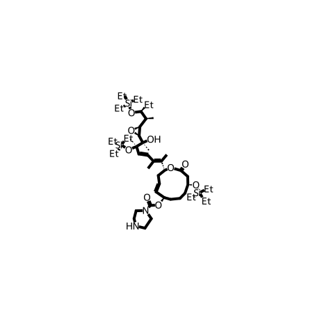 CC[C@H](O[Si](CC)(CC)CC)[C@@H](C)[C@@H]1O[C@@H]1[C@@](C)(O)[C@@](C)(/C=C/C(C)=C(\C)[C@H]1C/C=C/[C@H](OC(=O)N2CCNCC2)CCC[C@@H](O[Si](CC)(CC)CC)CC(=O)O1)O[Si](CC)(CC)CC